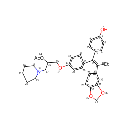 CCC(=C(c1ccc(O)cc1)c1ccc(OCC(CN2CCCCC2)OC(C)=O)cc1)c1ccc2c(c1)OCO2